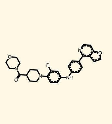 O=C(C1CCN(c2ccc(Nc3ccc(-c4nccc5occc45)cc3)cc2F)CC1)N1CCOCC1